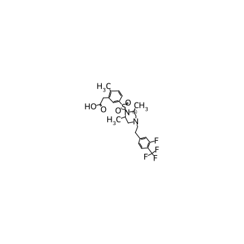 Cc1ccc(S(=O)(=O)N2C(C)CN(CCc3ccc(C(F)(F)F)c(F)c3)C[C@@H]2C)cc1CC(=O)O